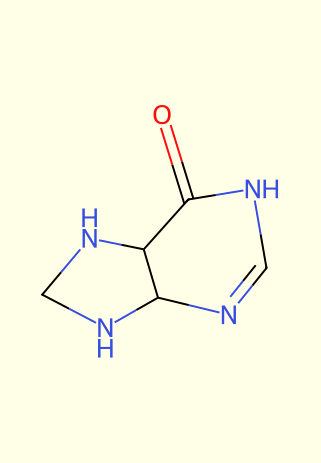 O=C1NC=NC2NCNC12